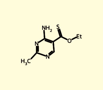 CCOC(=S)c1cnc(C)nc1N